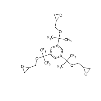 CC(OCC1CO1)(c1cc(C(OCC2CO2)(C(F)(F)F)C(F)(F)F)cc(C(OCC2CO2)(C(F)(F)F)C(F)(F)F)c1)C(F)(F)F